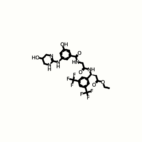 CCOC(=O)C[C@H](NC(=O)CNC(=O)c1cc(O)cc(NC2=NCC(O)CN2)c1)c1cc(C(F)(F)F)cc(C(F)(F)F)c1